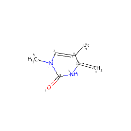 C=C1NC(=O)N(C)C=C1C(C)C